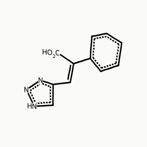 O=C(O)/C(=C\c1c[nH]nn1)c1ccccc1